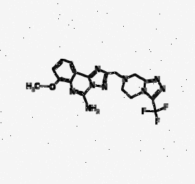 COc1cccc2c1nc(N)n1nc(CN3CCn4c(nnc4C(F)(F)F)C3)nc21